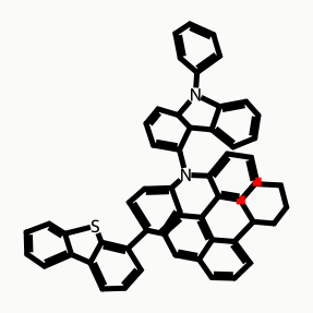 C1=CC2C(C(N(c3ccc(-c4cccc5c4sc4ccccc45)cc3)c3ccccc3-c3cccc4cccc(C5CCCCC5)c34)=C1)c1ccccc1N2c1ccccc1